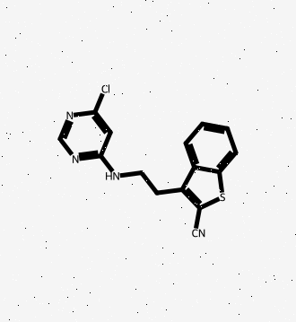 N#Cc1sc2ccccc2c1CCNc1cc(Cl)ncn1